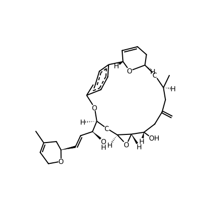 C=C1C[C@H](C)C[C@@H]2CC=C[C@H](O2)c2ccc(cc2)O[C@H]([C@@H](O)/C=C/[C@@H]2CC(C)=CCO2)C[C@@H]2O[C@H]2[C@@H](O)C1